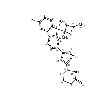 CC(C)c1ccc([C@](O)(c2cncc(-c3noc([C@@H]4CCCC(=O)N4)n3)c2)C2(C)CN(C)C2)cc1